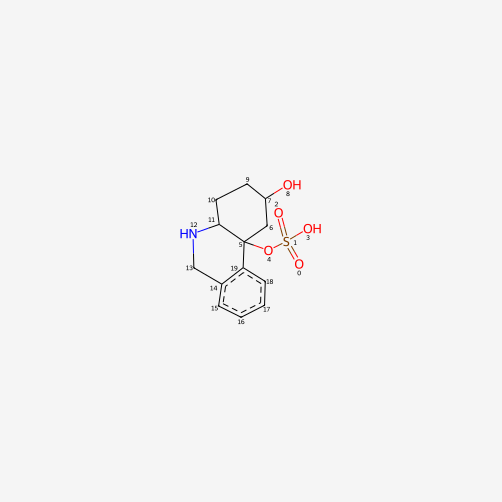 O=S(=O)(O)OC12CC(O)CCC1NCc1ccccc12